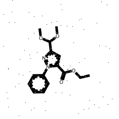 CCOC(=O)c1cc(C(OC)OC)nn1-c1ccccc1